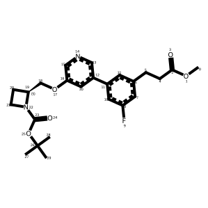 COC(=O)CCc1cc(F)cc(-c2cncc(OC[C@@H]3CCN3C(=O)OC(C)(C)C)c2)c1